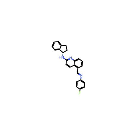 Fc1ccc(N=Cc2cccc3nc(N[C@@H]4CCc5ccccc54)ccc23)cc1